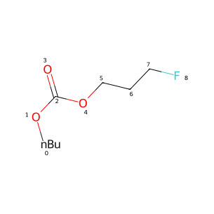 CCCCOC(=O)OCCCF